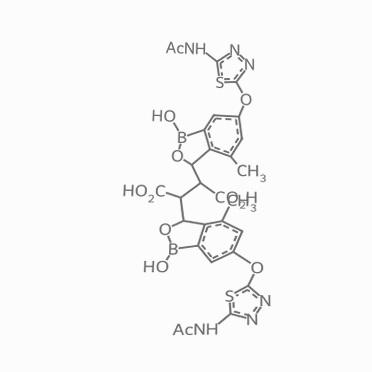 CC(=O)Nc1nnc(Oc2cc(C)c3c(c2)B(O)OC3C(C(=O)O)C(C(=O)O)C2OB(O)c3cc(Oc4nnc(NC(C)=O)s4)cc(C)c32)s1